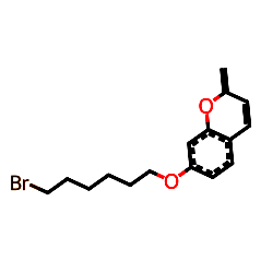 C=C1C=Cc2ccc(OCCCCCCBr)cc2O1